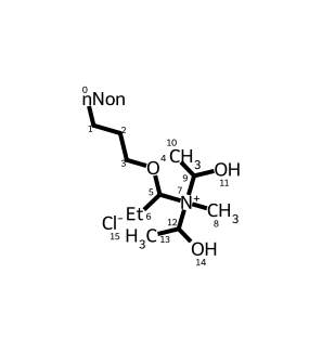 CCCCCCCCCCCCOC(CC)[N+](C)(C(C)O)C(C)O.[Cl-]